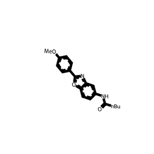 CCCCC(=O)Nc1ccc2oc(-c3ccc(OC)cc3)nc2c1